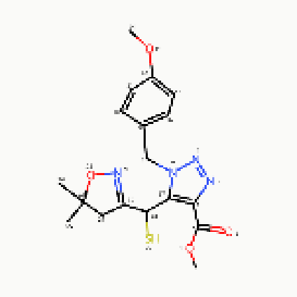 COC(=O)c1nnn(Cc2ccc(OC)cc2)c1C(S)C1=NOC(C)(C)C1